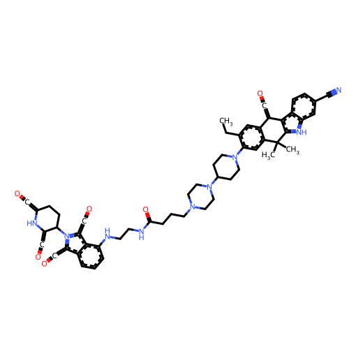 CCc1cc2c(cc1N1CCC(N3CCN(CCCC(=O)NCCNc4cccc5c(=C=O)n(C6CCC(=C=O)NC6=C=O)c(=C=O)c45)CC3)CC1)C(C)(C)c1[nH]c3cc(C#N)ccc3c1C2=C=O